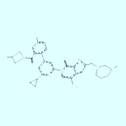 C[C@H]1CCCN(Cc2cc3c(C#N)cn(-c4cc(-c5ccc(F)cc5C(=O)N5CC(F)C5)cc(C5CC5)n4)c(=O)c3[nH]2)C1